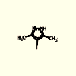 [CH2]c1[nH]nc(C)c1I